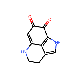 O=C1C=C2NCCc3c[nH]c(c32)C1=O